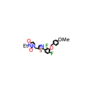 CCn1c(=O)ccn(Cc2cnc(-c3ccc(F)c(OCc4ccc(OC)cc4)c3F)s2)c1=O